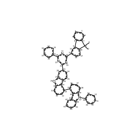 CC1(C)c2ccccc2-c2cc(-c3nc(-c4ccccc4)nc(-c4ccc5c(c4)oc4cccc(-c6cccc7c6c6ccccc6n7-c6ccccc6)c45)n3)ccc21